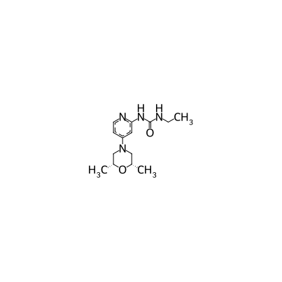 CCNC(=O)Nc1cc(N2C[C@@H](C)O[C@@H](C)C2)ccn1